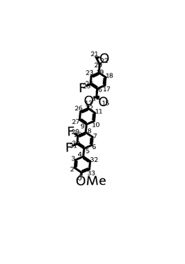 COc1ccc(-c2ccc(-c3ccc(OC(=O)c4ccc(C5CO5)cc4F)cc3)c(F)c2F)cc1